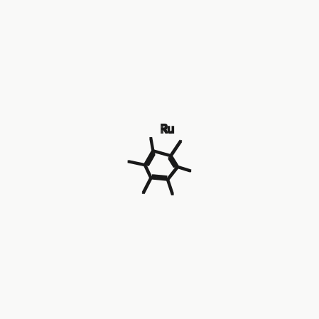 Cc1c(C)c(C)c(C)c(C)c1C.[Ru]